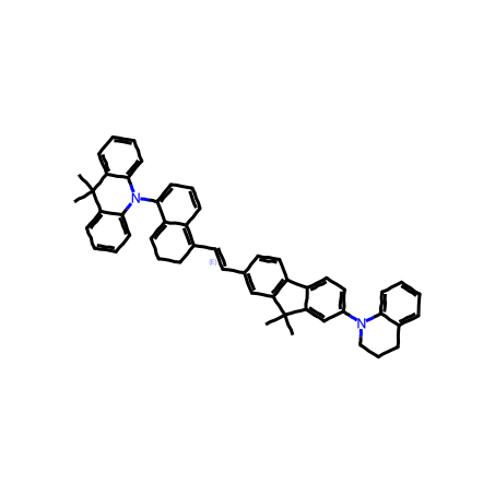 CC1(C)c2cc(/C=C/C3=c4cccc(N5c6ccccc6C(C)(C)c6ccccc65)c4=CCC3)ccc2-c2ccc(N3CCCc4ccccc43)cc21